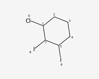 ClC1CCCC(I)C1I